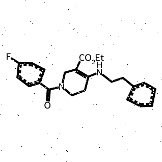 CCOC(=O)C1=C(NCCc2ccccc2)CCN(C(=O)c2ccc(F)cc2)C1